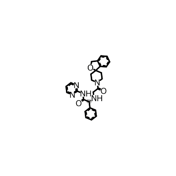 O=C(Nc1ncccn1)[C@H](NCC(=O)N1CCC2(CC1)OCc1ccccc12)c1ccccc1